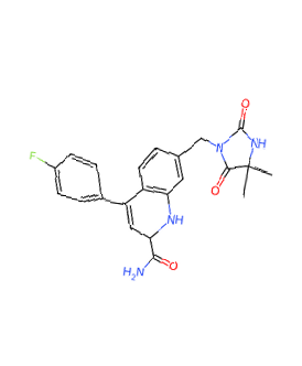 CC1(C)NC(=O)N(Cc2ccc3c(c2)NC(C(N)=O)C=C3c2ccc(F)cc2)C1=O